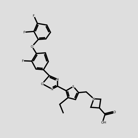 CCc1cc(CN2CC(C(=O)O)C2)sc1-c1noc(-c2ccc(Oc3cccc(F)c3F)c(F)c2)n1